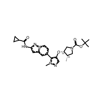 C[C@H]1CN(C(=O)OC(C)(C)C)C[C@H]1Oc1cnn(C)c1-c1ccn2nc(NC(=O)C3CC3)cc2c1